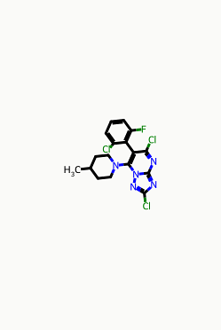 CC1CCN(c2c(-c3c(F)cccc3Cl)c(Cl)nc3nc(Cl)nn23)CC1